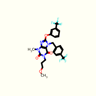 COCCCn1c(=O)c2c(nc(Oc3cccc(C(F)(F)F)c3)n2Cc2ccc(C(F)(F)F)cc2)n(C)c1=O